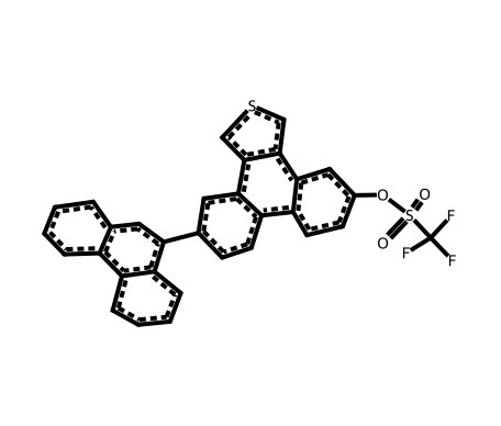 O=S(=O)(Oc1ccc2c3ccc(-c4cc5ccccc5c5ccccc45)cc3c3cscc3c2c1)C(F)(F)F